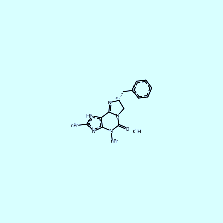 CCCc1nc2c([nH]1)C1=N[C@H](Cc3ccccc3)CN1C(=O)N2CCC.Cl